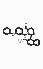 COc1ccc2ccccc2c1C1CCCC(C=O)N1Cc1cccc(Oc2ccccc2)c1